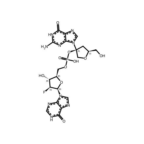 Nc1nc2c(ncn2[C@@]2(OP(=O)(O)OC[C@H]3O[C@@H](n4cnc5c(=O)[nH]cnc54)[C@@H](F)[C@@H]3O)CO[C@H](CO)C2)c(=O)[nH]1